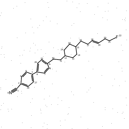 N#Cc1ccc(-c2ccc(CCC3CCC(CCC=CCCF)CC3)cc2)cc1